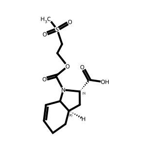 CS(=O)(=O)CCOC(=O)N1C2C=CCC[C@@H]2C[C@H]1C(=O)O